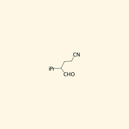 CC(C)C(C=O)CCC#N